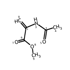 [CH]=C(NC(C)=O)C(=O)OC